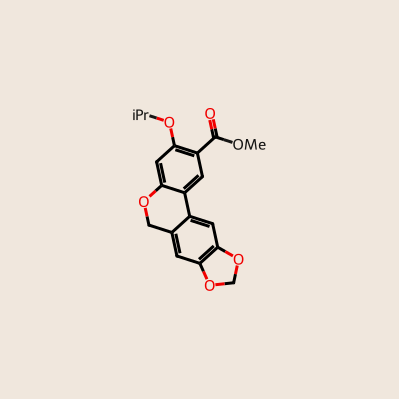 COC(=O)c1cc2c(cc1OC(C)C)OCc1cc3c(cc1-2)OCO3